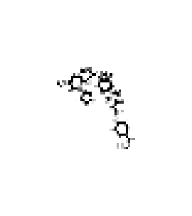 Cc1cc(S(=O)(=O)C(C)CCOC2CCC(CO)CC2)ccc1Nc1ncc2cc(Cl)c(=O)n(C3CCCC3)c2n1